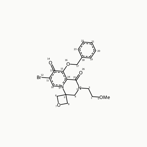 COCCN1CC2(COC2)n2cc(Br)c(=O)c(OCc3ccccc3)c2C1=O